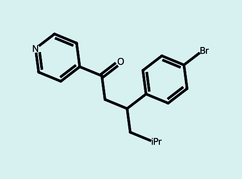 CC(C)CC(CC(=O)c1ccncc1)c1ccc(Br)cc1